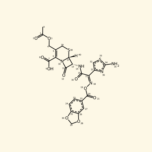 CC(=O)OCC1=C(C(=O)O)N2C(=O)[C@@H](NC(=O)C(=NOC(=O)c3ccc4c(c3)OCO4)c3csc(N)n3)[C@H]2SC1